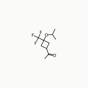 CC(=O)C1CC(OC(C)C)(C(F)(F)F)C1